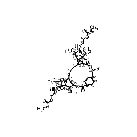 C=CC(=O)OCCNC(=O)C(C)ON1C2(C)CCCC3(C)C(C)C(CC(C)(CC)N3OC(C)C(=O)NCCOC(=O)C=C)OC(=O)c3ccc(cc3)C(=O)OC(C2)C(C)C1(C)CC